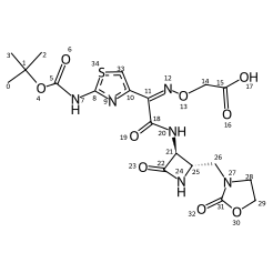 CC(C)(C)OC(=O)Nc1nc(C(=NOCC(=O)O)C(=O)N[C@@H]2C(=O)N[C@H]2CN2CCOC2=O)cs1